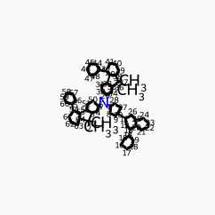 CC1(C)c2cc(N(c3ccc(-c4cc(-c5ccccc5)c5ccccc5c4)cc3)c3ccc4c(c3)C(C)(C)c3cccc(-c5ccccc5)c3-4)ccc2-c2c(-c3ccccc3)cccc21